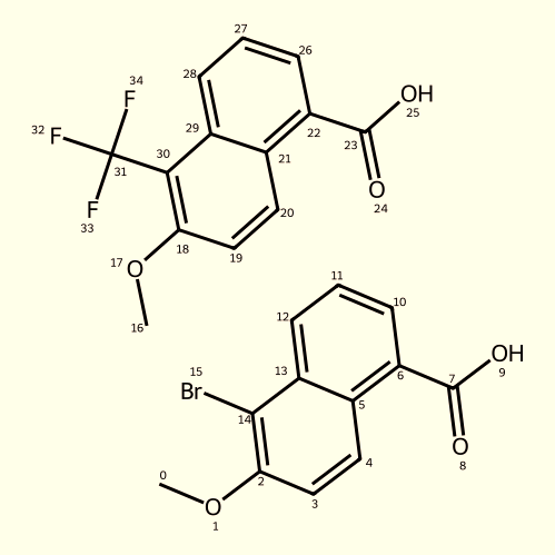 COc1ccc2c(C(=O)O)cccc2c1Br.COc1ccc2c(C(=O)O)cccc2c1C(F)(F)F